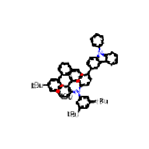 CC(C)(C)c1cc(-c2cccc3cccc(-c4ccccc4N(c4ccc(-c5ccc6c(c5)c5ccccc5n6-c5ccccc5)cc4)c4cc(C(C)(C)C)cc(C(C)(C)C)c4)c23)cc(C(C)(C)C)c1